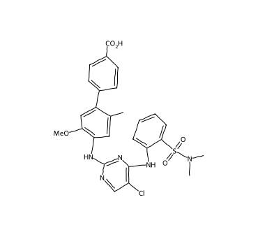 COc1cc(-c2ccc(C(=O)O)cc2)c(C)cc1Nc1ncc(Cl)c(Nc2ccccc2S(=O)(=O)N(C)C)n1